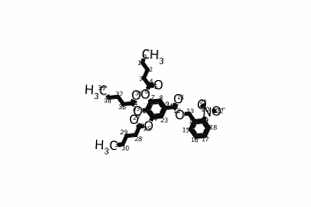 CCCCC(=O)Oc1cc(C(=O)OCc2ccccc2[N+](=O)[O-])cc(OC(=O)CCCC)c1OC(=O)CCCC